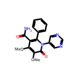 COc1c(C(N)=O)c(-c2ccccc2)n(-c2cncnc2)c(=O)c1OC